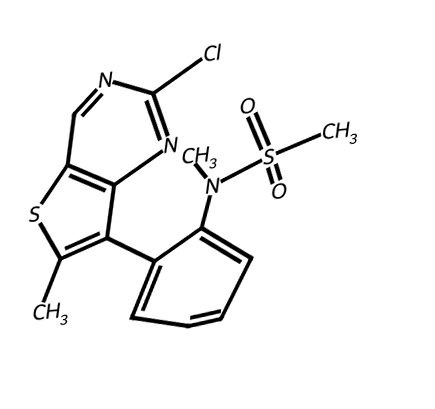 Cc1sc2cnc(Cl)nc2c1-c1ccccc1N(C)S(C)(=O)=O